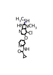 C/[SH]=c1\[nH]c2ncc(Oc3ccnc(NC(=O)C4CC4)c3)c(Cl)c2n1C